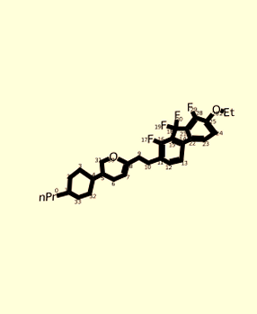 CCCC1CCC(C2CC=C(CCc3ccc4c(c3F)C(F)(F)c3c-4ccc(OCC)c3F)OC2)CC1